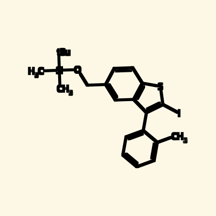 Cc1ccccc1-c1c(I)sc2ccc(CO[Si](C)(C)C(C)(C)C)cc12